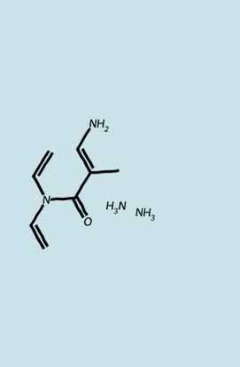 C=CN(C=C)C(=O)C(C)=CN.N.N